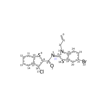 C=CCn1/c(=N/C(=O)c2sc3ccccc3c2Cl)sc2cc(Br)ccc21